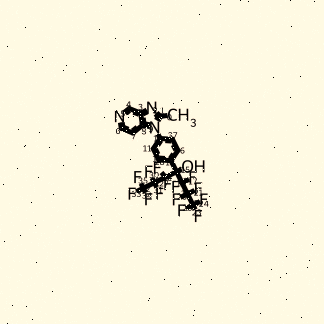 Cc1nc2cnccc2n1-c1ccc(C(O)(C(F)(F)C(F)(F)C(F)(F)F)C(F)(F)C(F)(F)C(F)(F)F)cc1